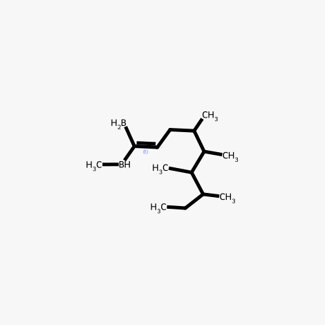 B/C(BC)=C\CC(C)C(C)C(C)C(C)CC